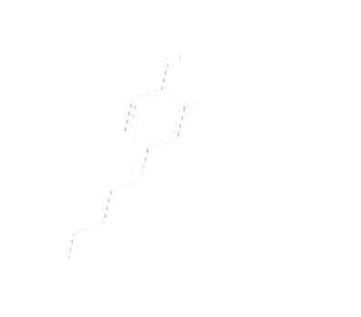 CCCSc1cc(OCCCS)ccc1C